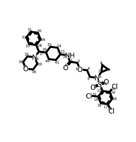 O=C(COCCN(C1CC1)S(=O)(=O)c1c(Cl)cc(Cl)cc1Cl)NC1CCC(C(c2ccccc2)N2CCOCC2)CC1